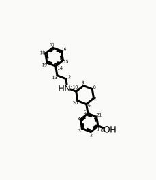 Oc1cccc(C2CCCC(NCCc3ccccc3)C2)c1